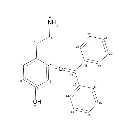 NCCc1ccc(O)cc1.O=C(c1ccccc1)c1ccccc1